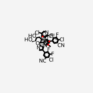 Cc1nc(C2(n3cc(-c4cc(C#N)c(Cl)c(F)c4F)cn3)O[C@@H](CO)[C@@H](O)C[C@@]2(O)n2cc(-c3cc(C#N)c(Cl)c(F)c3F)cn2)n(-c2cc(Cl)cnc2C(F)(F)F)n1